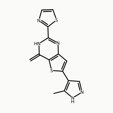 C=C1NC(c2nccs2)=Nc2cc(-c3cn[nH]c3C)sc21